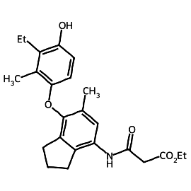 CCOC(=O)CC(=O)Nc1cc(C)c(Oc2ccc(O)c(CC)c2C)c2c1CCC2